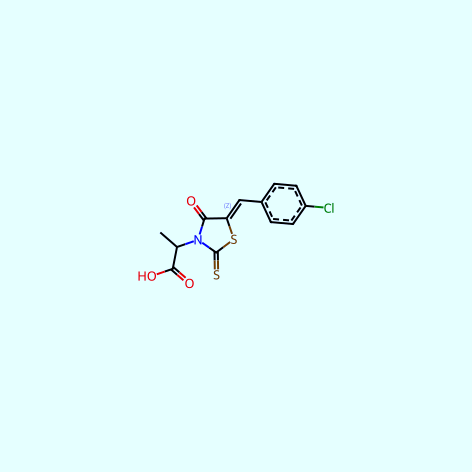 CC(C(=O)O)N1C(=O)/C(=C/c2ccc(Cl)cc2)SC1=S